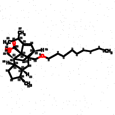 CCCCCCCCCOC[C@]12C[C@H]3[C@@H](C)CC[C@@H]3[C@]3(C=O)C[C@H]1C=C(C(C)C)[C@]23C(=O)O